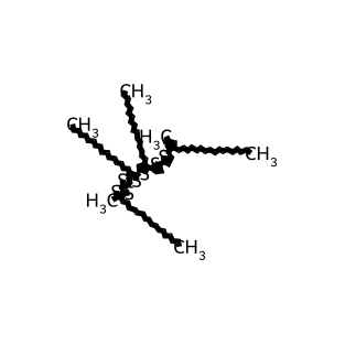 CCCCCCCCCCCCCCCCCc1cc(C)sc1-c1ccc(-c2ccc(-c3sc(-c4sc5c(sc6c7sc(C)c(CCCCCCCCCCCCCCCCC)c7sc56)c4CCCCCCCCCCCCCCCCC)cc3CCCCCCCCCCCCCCCCC)s2)s1